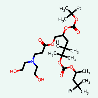 CCC(C)(C)OC(=O)OC(COC(=O)CCN(CCO)CCO)CC(C)(C)C(C)(C)OC(=O)OC(C)CC(C)(C)C(C)C